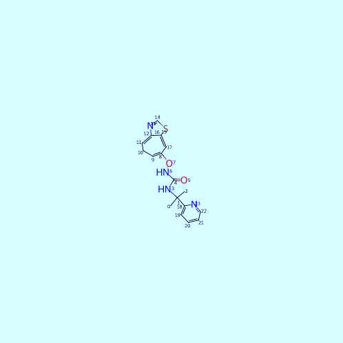 CC(C)(NC(=O)NOC1=CCC=c2ncsc2=C1)c1ccccn1